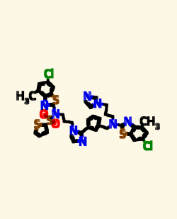 Cc1cc(Cl)cc2sc(N(CCCn3ccnc3)Cc3cccc(-c4nccn4CCCN(c4nc5c(C)cc(Cl)cc5s4)S(=O)(=O)c4cccs4)c3)nc12